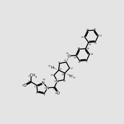 CC(=O)c1ccn(C(=O)N2C[C@H]3C[C@H](Oc4cccc(-c5ccccc5)c4)C[C@H]3C2)n1